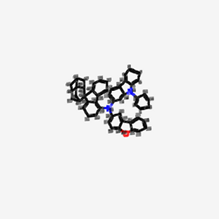 c1ccc(-n2c3ccccc3c3ccc(N(c4ccc5oc6ccccc6c5c4)c4cccc5c4-c4ccccc4C54C5CC6CC(C5)CC4C6)cc32)cc1